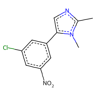 Cc1ncc(-c2cc(Cl)cc([N+](=O)[O-])c2)n1C